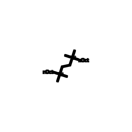 CCCCCCCC[N+](C)(C)CC[N+](C)(C)CCCCCCCC